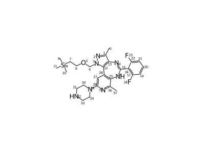 Cc1nn(COCC[Si](C)(C)C)c2c1N=C(c1c(F)cccc1F)Nc1c-2cc(N2CCNCC2)nc1C